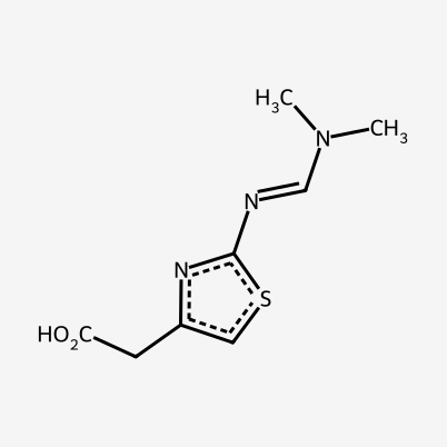 CN(C)C=Nc1nc(CC(=O)O)cs1